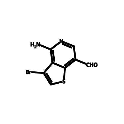 Nc1ncc(C=O)c2scc(Br)c12